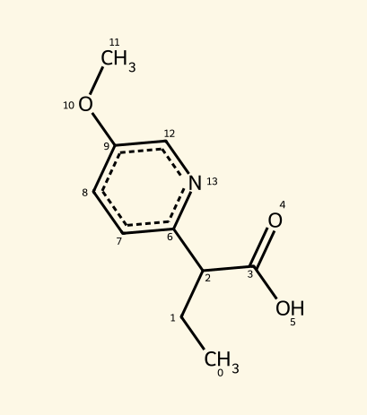 CCC(C(=O)O)c1ccc(OC)cn1